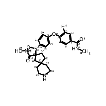 CNC(=O)c1ccc(Oc2ccc([S+]([O-])C3(C(=O)NO)CCC4(CCNCC4)C3)cc2)c(F)c1